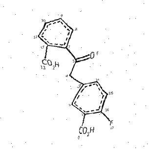 O=C(O)c1cc(CC(=O)c2ccccc2C(=O)O)ccc1F